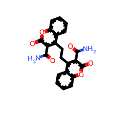 NC(=O)c1c(CCc2c(C(N)=O)c(=O)oc3ccccc23)c2ccccc2oc1=O